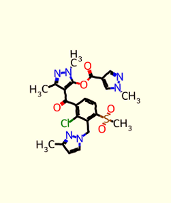 Cc1ccn(Cc2c(S(C)(=O)=O)ccc(C(=O)c3c(C)nn(C)c3OC(=O)c3cnn(C)c3)c2Cl)n1